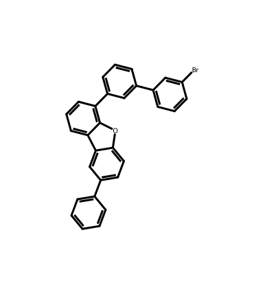 Brc1cccc(-c2cccc(-c3cccc4c3oc3ccc(-c5ccccc5)cc34)c2)c1